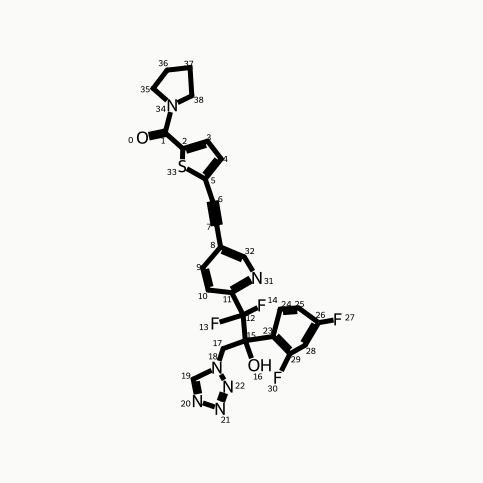 O=C(c1ccc(C#Cc2ccc(C(F)(F)C(O)(Cn3cnnn3)c3ccc(F)cc3F)nc2)s1)N1CCCC1